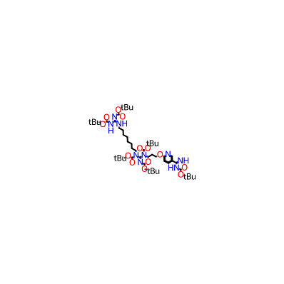 CC(C)(C)OC(=O)/N=C(/N(CCCCCCCCN/C(=N\C(=O)OC(C)(C)C)NC(=O)OC(C)(C)C)C(=O)OC(C)(C)C)N(CCCOc1ccc(C(=N)NC(=O)OC(C)(C)C)cn1)C(=O)OC(C)(C)C